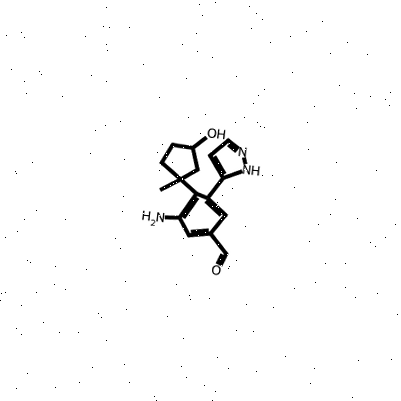 CC1(c2c(N)cc(C=O)cc2-c2ccn[nH]2)CCC(O)C1